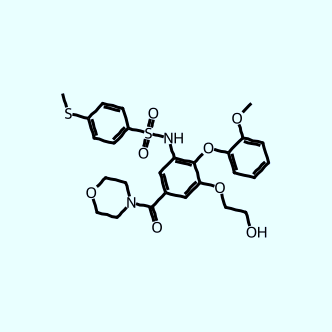 COc1ccccc1Oc1c(NS(=O)(=O)c2ccc(SC)cc2)cc(C(=O)N2CCOCC2)cc1OCCO